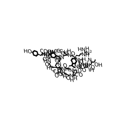 CC(O)[C@H](N)C(=O)N[C@@H](C(=O)N[C@@H]1C(=O)N[C@H](CCCNC(=N)N)C(=O)N[C@H]2CCCCNC(=O)C[C@H](C(=O)N[C@@H](Cc3ccc(O)cc3)C(=O)O)NC(=O)[C@@H]3CCC(=O)OC[C@@H](NC(=O)[C@@H]4CCCN4C(=O)[C@H](Cc4ccc(O)cc4)NC2=O)C(=O)N[C@@H](CC(=O)OC1C)C(=O)N[C@@H](Cc1c[nH]c2ccccc12)C(=O)N3)C(C)C